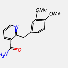 COc1ccc(Cc2ncccc2C(N)=O)cc1OC